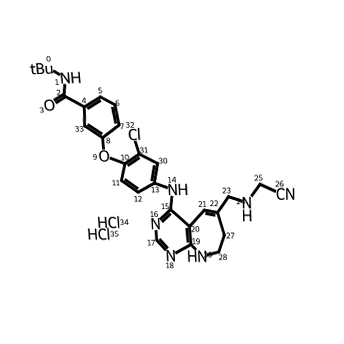 CC(C)(C)NC(=O)c1cccc(Oc2ccc(Nc3ncnc4c3C=C(CNCC#N)CCN4)cc2Cl)c1.Cl.Cl